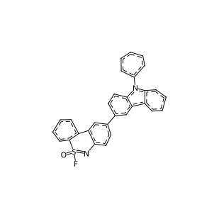 O=S1(F)=Nc2ccc(-c3ccc4c(c3)c3ccccc3n4-c3ccccc3)cc2-c2ccccc21